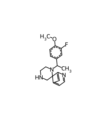 COc1ccc(C(C)N2CCNCC23C2=CC=NC3=C2)cc1F